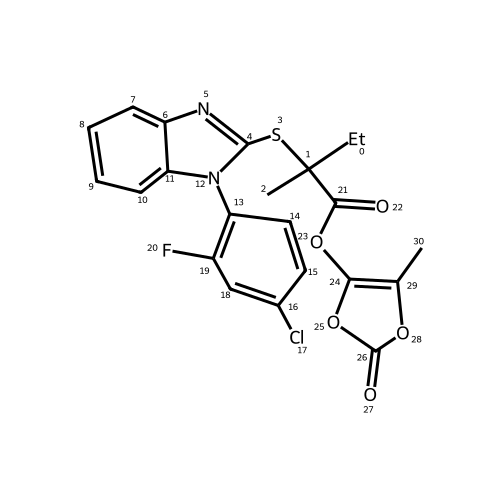 CCC(C)(Sc1nc2ccccc2n1-c1ccc(Cl)cc1F)C(=O)Oc1oc(=O)oc1C